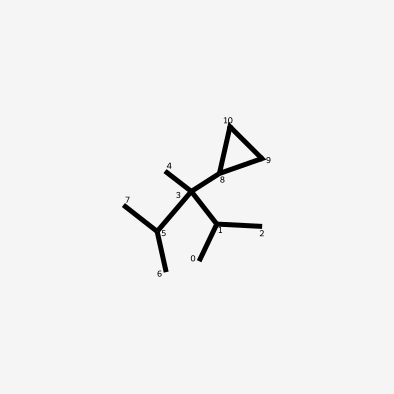 CC(C)C(C)(C(C)C)C1CC1